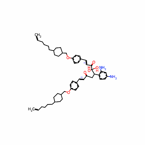 C=CCCCCC1CCC(COc2ccc(/C=C/C(=O)CC(c3ccc(N)cc3N)C(O)(O)C(=O)/C=C/c3ccc(OCC4CCC(CCCCC=C)CC4)cc3)cc2)CC1